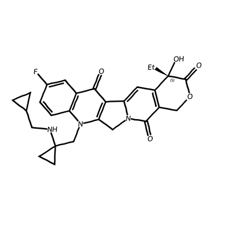 CC[C@@]1(O)C(=O)OCc2c1cc1n(c2=O)Cc2c-1c(=O)c1cc(F)ccc1n2CC1(NCC2CC2)CC1